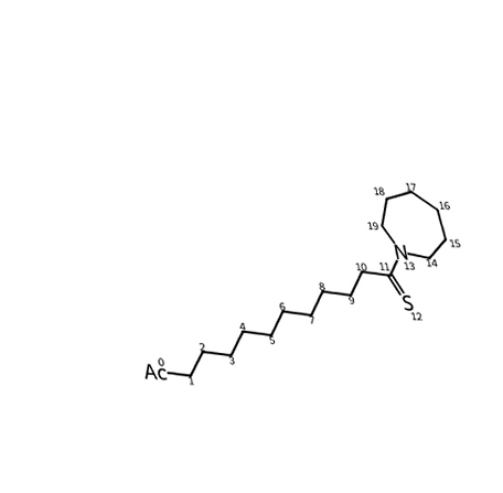 CC(=O)CCCCCCCCCCC(=S)N1CCCCCC1